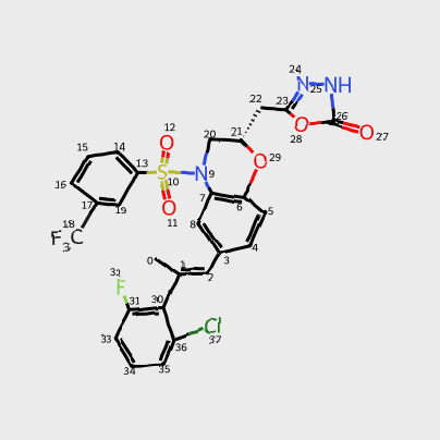 CC(=Cc1ccc2c(c1)N(S(=O)(=O)c1cccc(C(F)(F)F)c1)C[C@H](Cc1n[nH]c(=O)o1)O2)c1c(F)cccc1Cl